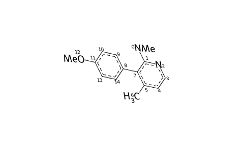 CNc1nccc(C)c1-c1ccc(OC)cc1